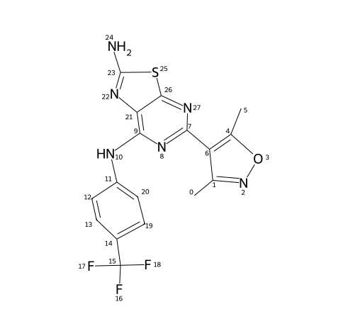 Cc1noc(C)c1-c1nc(Nc2ccc(C(F)(F)F)cc2)c2nc(N)sc2n1